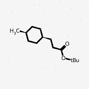 CC(C)(C)OC(=O)CC[C@H]1CC[C@@H](C)CC1